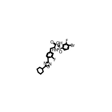 O=C(O)C(Cc1ccc(-c2noc(C3CCCCC3)n2)c(F)c1)NS(=O)(=O)c1ccc(Br)c(F)c1